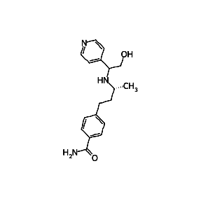 C[C@H](CCc1ccc(C(N)=O)cc1)NC(CO)c1ccncc1